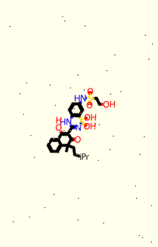 CC(C)CCC1(C)C(=O)C(C2=NS(O)(O)c3cc(NS(=O)(=O)CCO)ccc3N2)=C(O)c2ccccc21